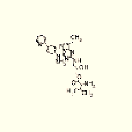 CCc1cnn2c(N(C)c3ccc(-c4ccccn4)cc3)nc(NC[C@@H](O)COC(=O)[C@H](N)C(C)C)nc12